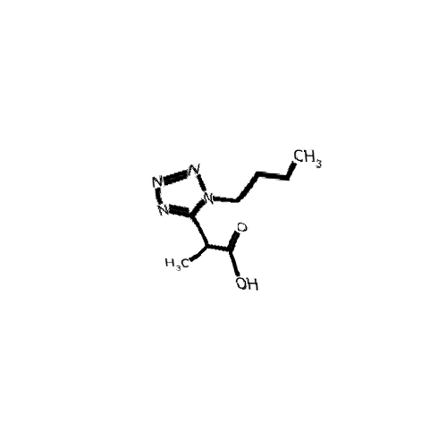 CCCCn1nnnc1C(C)C(=O)O